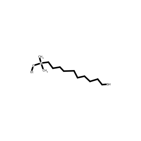 CCO[Si](C)(C)CCCCCCCCCCS